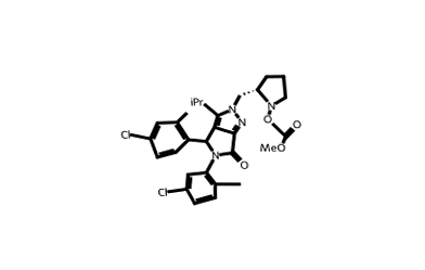 COC(=O)ON1CCC[C@H]1Cn1nc2c(c1C(C)C)C(c1ccc(Cl)cc1C)N(c1cc(Cl)ccc1C)C2=O